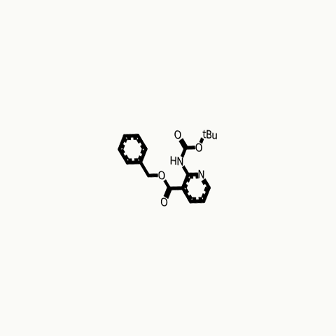 CC(C)(C)OC(=O)Nc1ncccc1C(=O)OCc1ccccc1